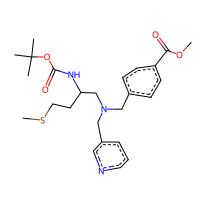 COC(=O)c1ccc(CN(Cc2cccnc2)CC(CCSC)NC(=O)OC(C)(C)C)cc1